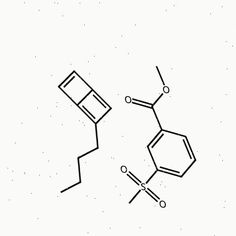 CCCCc1cc2ccc1-2.COC(=O)c1cccc(S(C)(=O)=O)c1